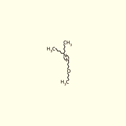 CCCCCOCCCCN1CCN(C(CCCCC)CCCCC)CC1